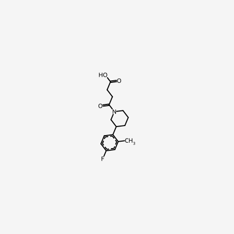 Cc1cc(F)ccc1C1CCCN(C(=O)CCC(=O)O)C1